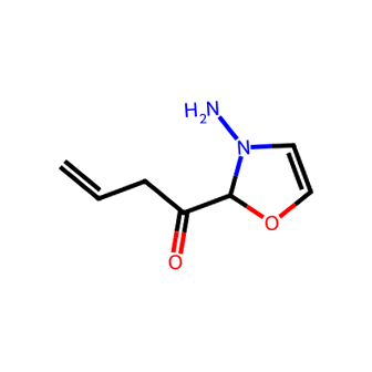 C=CCC(=O)C1OC=CN1N